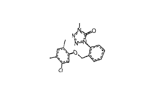 Cc1cc(C)c(OCc2ccccc2-n2nnn(C)c2=O)cc1Cl